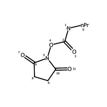 CCC[N]C(=O)ON1C(=O)CCC1=O